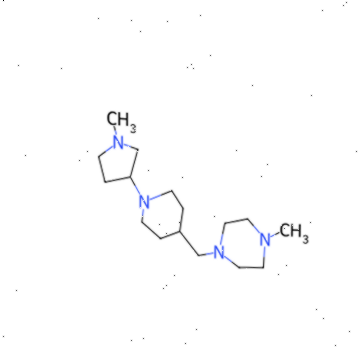 CN1CCN(CC2CCN(C3CCN(C)C3)CC2)CC1